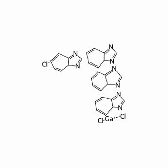 C1=CC2=NC=NC2C=C1.C1=CC2=NC=NC2C=C1.C1=CC2=NC=NC2C=C1.C1=CC2=NC=NC2C=C1.[Cl-].[Cl][Ga+][Cl]